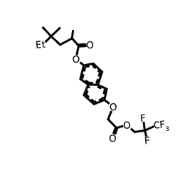 CCC(C)(C)CC(C)C(=O)Oc1ccc2cc(OCC(=O)OCC(F)(F)C(F)(F)F)ccc2c1